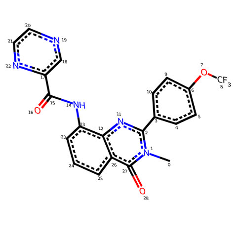 Cn1c(-c2ccc(OC(F)(F)F)cc2)nc2c(NC(=O)c3cnccn3)cccc2c1=O